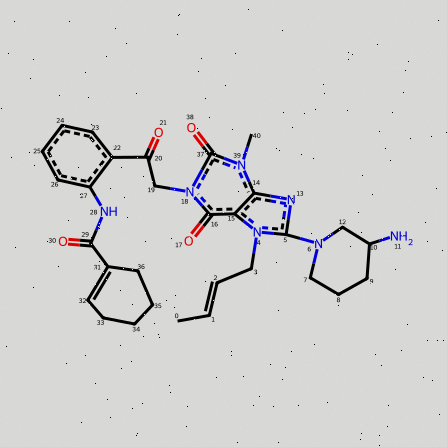 CC=CCn1c(N2CCCC(N)C2)nc2c1c(=O)n(CC(=O)c1ccccc1NC(=O)C1=CCCCC1)c(=O)n2C